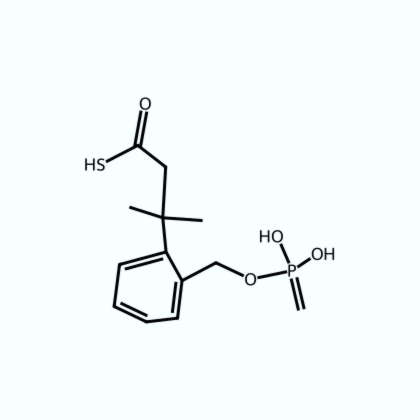 C=P(O)(O)OCc1ccccc1C(C)(C)CC(=O)S